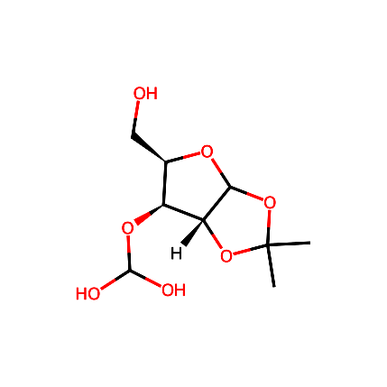 CC1(C)OC2O[C@H](CO)[C@H](OC(O)O)[C@H]2O1